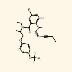 CCC#C/C=N\N(C)c1c(F)cc(F)cc1C(=O)N(CC)C(C)COc1ccc(OC(F)(F)F)cn1